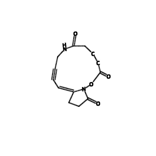 O=C1CCCC(=O)ON2C(=O)CC/C2=C/C#CCN1